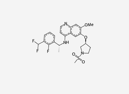 COc1cc2nccc(N[C@H](C)c3cccc(C(F)F)c3F)c2cc1O[C@H]1CCN(S(C)(=O)=O)C1